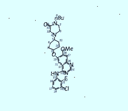 CCCCN1CCN(C2CCC(Oc3cc4c(Nc5cccc(Cl)c5F)ncnc4cc3OC)CC2)CC1=O